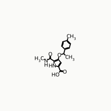 CNC(=O)c1[nH]c(C(=O)O)cc1OC(C)c1ccc(C)cc1